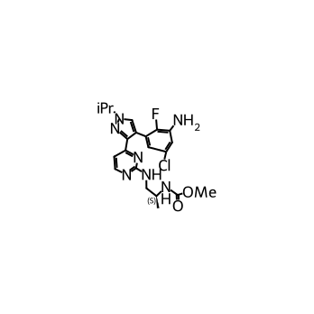 COC(=O)N[C@@H](C)CNc1nccc(-c2nn(C(C)C)cc2-c2cc(Cl)cc(N)c2F)n1